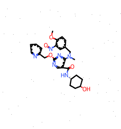 COc1ccc(CN(C)c2nc(OCc3ccccn3)ncc2C(=O)N[C@H]2CC[C@H](O)CC2)cc1N=O